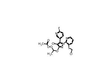 CC(=O)OOC(C)Oc1nn(-c2ncccc2SCCl)c(-c2ccc(F)nc2)c1Cl